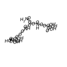 COCC1OC(OCCOCCOCCNC(=O)CCOCC(C)(COCCC(N)=O)COCCC(=O)NCCOCCOCCOC2OC(COP(=O)(O)O)C(O)C(O)C2O)C(O)C(O)C1O